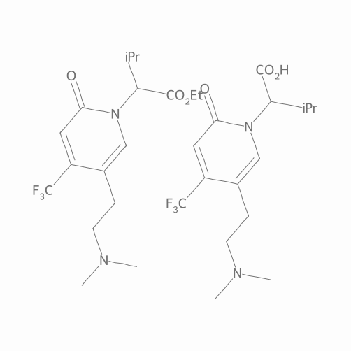 CC(C)C(C(=O)O)n1cc(CCN(C)C)c(C(F)(F)F)cc1=O.CCOC(=O)C(C(C)C)n1cc(CCN(C)C)c(C(F)(F)F)cc1=O